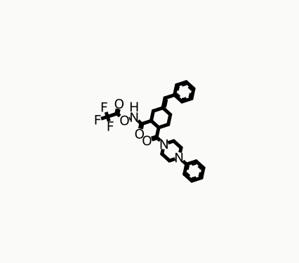 O=C(NOC(=O)C(F)(F)F)C1CC(=Cc2ccccc2)CCC1C(=O)N1CCN(c2ccccc2)CC1